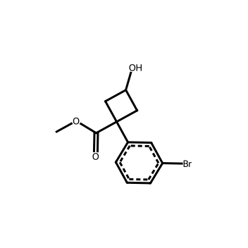 COC(=O)C1(c2cccc(Br)c2)CC(O)C1